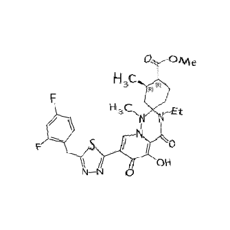 CCN1C(=O)c2c(O)c(=O)c(-c3nnc(Cc4ccc(F)cc4F)s3)cn2N(C)C12CC[C@@H](C(=O)OC)[C@H](C)C2